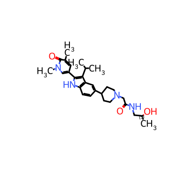 Cc1cc(-c2[nH]c3ccc(C4CCN(CC(=O)NC[C@H](C)O)CC4)cc3c2C(C)C)cn(C)c1=O